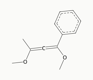 COC(C)=C=C(OC)c1ccccc1